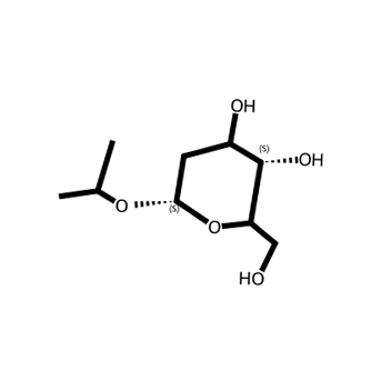 CC(C)O[C@@H]1CC(O)[C@H](O)C(CO)O1